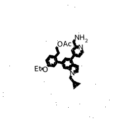 CCOc1ccc(CCOC(C)=O)c(-c2cc(-c3ccnc(CN)c3)c3ccn(CC4CC4)c3c2)c1